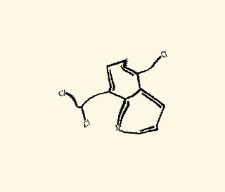 Clc1ccc(C(Cl)Cl)c2ncccc12